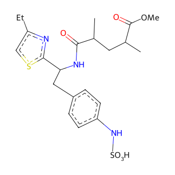 CCc1csc(C(Cc2ccc(NS(=O)(=O)O)cc2)NC(=O)C(C)CC(C)C(=O)OC)n1